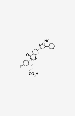 N#Cc1ccccc1C1CC(c2ccc3c(=O)n(-c4ccc(F)cc4)c(CCCCC(=O)O)nc3c2)=NO1